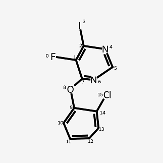 Fc1c(I)ncnc1Oc1ccccc1Cl